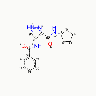 O=C(Nc1c[nH]nc1C(=O)NC1CCCC1)c1ccccc1